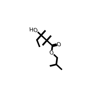 CCC(C)(O)C(C)(C)C(=O)OCC(C)C